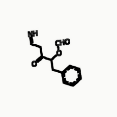 N=CCC(=O)C(Cc1ccccc1)OC=O